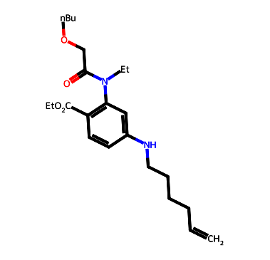 C=CCCCCNc1ccc(C(=O)OCC)c(N(CC)C(=O)COCCCC)c1